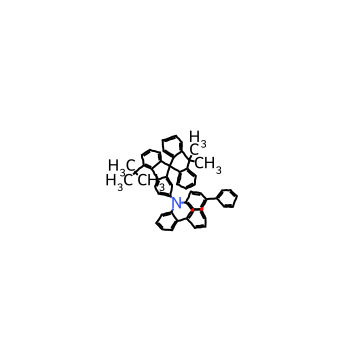 CC(C)(C)c1cccc2c1-c1ccc(N(c3ccc(-c4ccccc4)cc3)c3ccccc3-c3ccccc3)cc1C21c2ccccc2C(C)(C)c2ccccc21